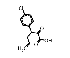 C=CCC(C(=O)C(=O)O)c1ccc(Cl)cc1